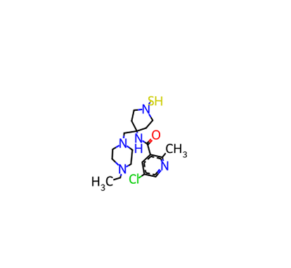 CCN1CCN(CC2(NC(=O)c3cc(Cl)cnc3C)CCN(S)CC2)CC1